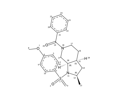 C=S(=O)(c1ccc(OC)cc1)N1[C@H](C)C[C@@H]2CCN(C(=O)c3ccccc3)C[C@@H]21